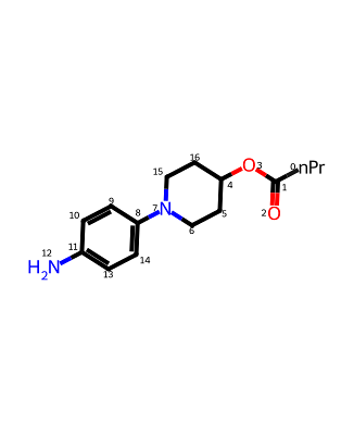 CCCC(=O)OC1CCN(c2ccc(N)cc2)CC1